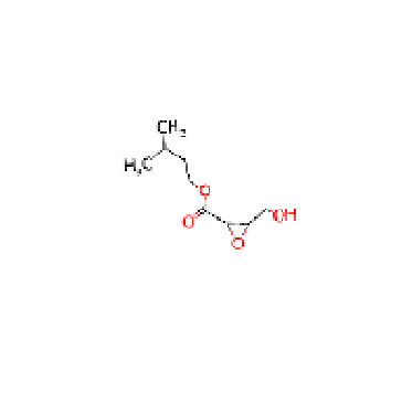 CC(C)CCOC(=O)C1OC1CO